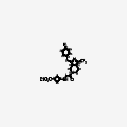 CCOC(=O)[C@H]1C[C@@H](NCC(=O)N2CCc3c(C(F)(F)F)nn(Cc4ccc(F)cc4)c3C2)C1